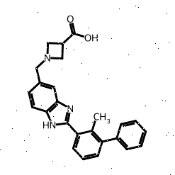 Cc1c(-c2ccccc2)cccc1-c1nc2cc(CN3CC(C(=O)O)C3)ccc2[nH]1